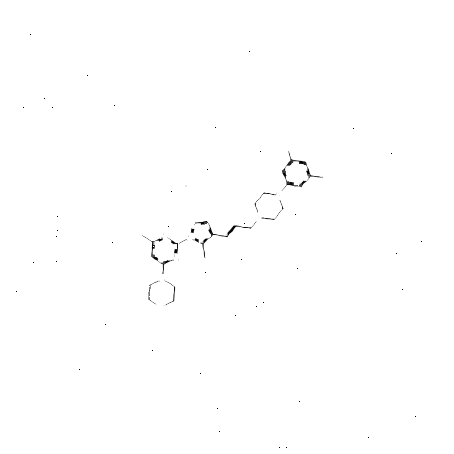 Cc1c(C=CCN2CCN(c3cc(F)cc(F)c3)CC2)cnn1-c1nc(N)cc(N2CCOCC2)n1.Cl